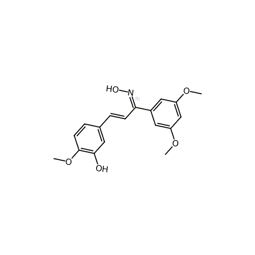 COc1cc(OC)cc(/C(C=Cc2ccc(OC)c(O)c2)=N/O)c1